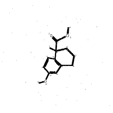 COC(=O)C1(C)CCCc2cc(OC)ccc21